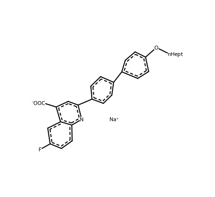 CCCCCCCOc1ccc(-c2ccc(-c3cc(C(=O)[O-])c4cc(F)ccc4n3)cc2)cc1.[Na+]